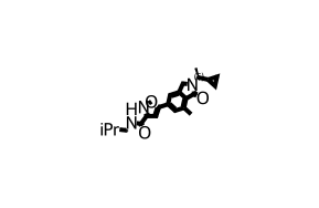 Cc1cc(-c2cc(C(=O)NCC(C)C)no2)cc2c1C(=O)N([C@@H](C)C1CC1)C2